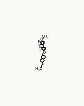 CCCCC1CCC2CC(COc3ccc(-c4ccc(OCC)c(F)c4F)c(F)c3F)CCC2C1